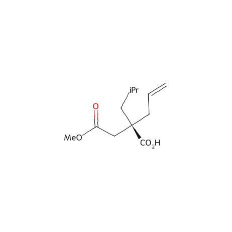 C=CC[C@](CC(=O)OC)(CC(C)C)C(=O)O